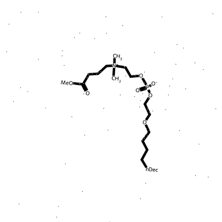 CCCCCCCCCCCCCCOCCOP(=O)([O-])OCC[N+](C)(C)CCCC(=O)OC